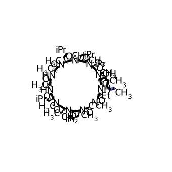 C=C(C)[C@@H]1NC(=O)[C@H](CC(C)C)N(C)C(=O)CN(C)C(=O)[C@H](CC)NC(=O)[C@H]([C@H](O)[C@H](C)C/C=C/C)N(C)C(=O)[C@H](C(C)C)N(C)C(=O)[C@H](CC(C)C)N(C)C(=O)[C@H](CCC(C)C)N(C)C(=O)[C@@H](C)NC(=O)[C@H](C)NC(=O)[C@H](CC(C)C)N(C)C1=O